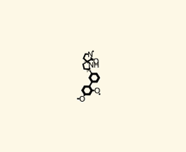 COc1ccc(-c2cccc([C@H]3CC[C@]4(CCN(C)C4=O)N3)c2)c(OC)c1